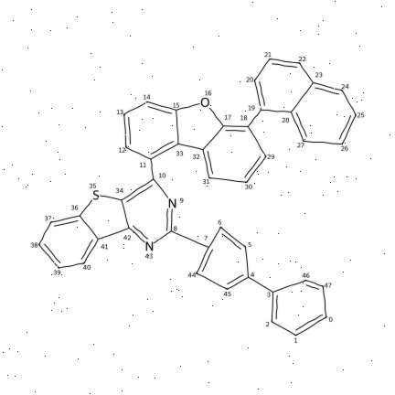 c1ccc(-c2ccc(-c3nc(-c4cccc5oc6c(-c7cccc8ccccc78)cccc6c45)c4sc5ccccc5c4n3)cc2)cc1